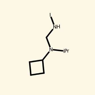 CC(C)N(CNI)C1CCC1